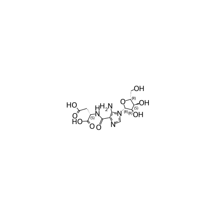 Nc1c(C(=O)N[C@@H](CC(=O)O)C(=O)O)ncn1[C@@H]1O[C@H](CO)[C@@H](O)[C@H]1O